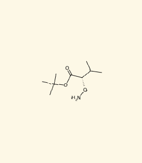 CC(C)[C@H](ON)C(=O)OC(C)(C)C